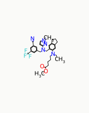 CCN(CCCCC(=O)OC)c1cc2c(cc1CN(Cc1cc(C#N)cc(C(F)(F)F)c1)c1ccn(C)n1)CCC2